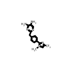 Cn1cc(C(F)(F)F)nc1-c1ccc(Cc2ncc(N)c(N)n2)cc1